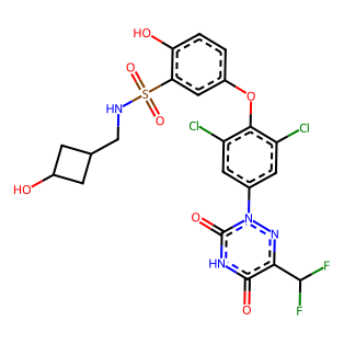 O=c1[nH]c(=O)n(-c2cc(Cl)c(Oc3ccc(O)c(S(=O)(=O)NCC4CC(O)C4)c3)c(Cl)c2)nc1C(F)F